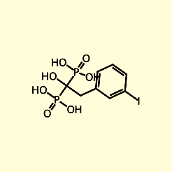 O=P(O)(O)C(O)(Cc1cccc(I)c1)P(=O)(O)O